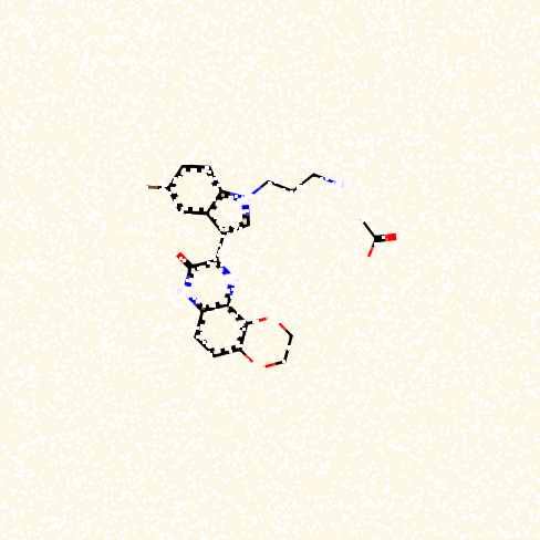 CC(=O)O.NCCCn1cc(-c2nc3c4c(ccc3[nH]c2=O)OCCO4)c2cc(Br)ccc21